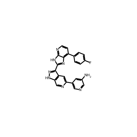 Nc1cncc(-c2cc3c(-c4nc5c(-c6ccc(F)cc6)ccnc5[nH]4)n[nH]c3cn2)c1